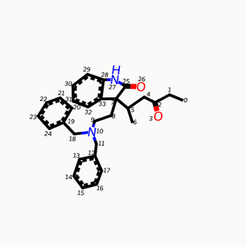 CCC(=O)CC(C)C1(CCN(Cc2ccccc2)Cc2ccccc2)C(=O)Nc2ccccc21